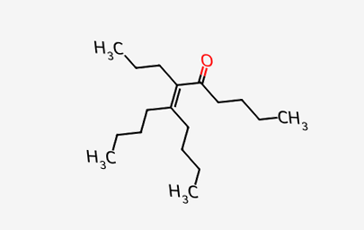 CCCCC(=O)C(CCC)=C(CCCC)CCCC